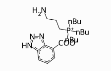 CCCC[P+](CCCC)(CCCC)CCCN.O=C([O-])c1cccc2[nH]nnc12